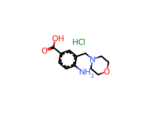 Cl.Nc1ccc(C(=O)O)cc1CN1CCOCC1